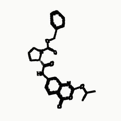 CC(C)Oc1nc2cc(NC(=O)[C@@H]3CCCN3C(=O)OCc3ccccc3)ccc2c(=O)o1